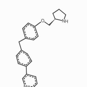 c1cncc(-c2ccc(Cc3ccc(OC[C@H]4CCCN4)cc3)cc2)c1